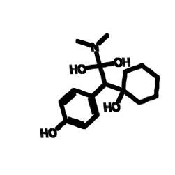 CN(C)C(O)(O)C(c1ccc(O)cc1)C1(O)CCCCC1